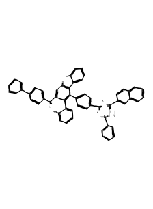 c1ccc(-c2ccc(-c3nc4ccccc4c4c(-c5ccc(-c6nc(-c7ccccc7)nc(-c7ccc8ccccc8c7)n6)cc5)c5c(cc34)oc3ccccc35)cc2)cc1